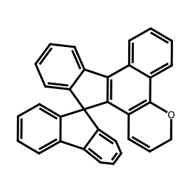 C1=Cc2c3c(c4ccccc4c2OC1)-c1ccccc1C31c2ccccc2-c2ccccc21